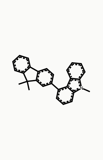 Cn1c2ccccc2c2c(-c3ccc4c(c3)C(C)(C)c3ccccc3-4)cccc21